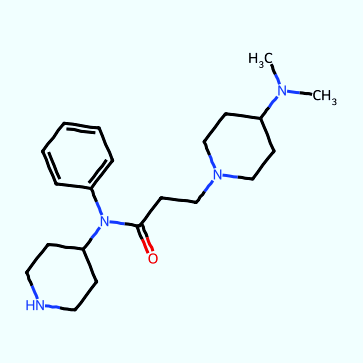 CN(C)C1CCN(CCC(=O)N(c2ccccc2)C2CCNCC2)CC1